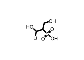 [Li][CH](O)C(CO)S(=O)(=O)O